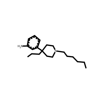 CCCCCCN1CCC(CCC)(c2cccc(N)c2)CC1